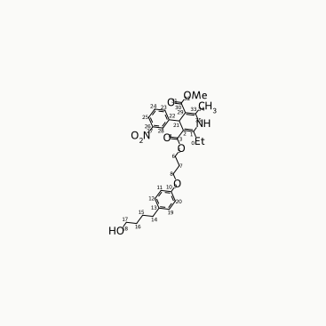 CCC1=C(C(=O)OCCCOc2ccc(CCCCO)cc2)C(c2cccc([N+](=O)[O-])c2)C(C(=O)OC)=C(C)N1